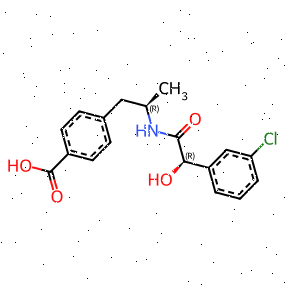 C[C@H](Cc1ccc(C(=O)O)cc1)NC(=O)[C@H](O)c1cccc(Cl)c1